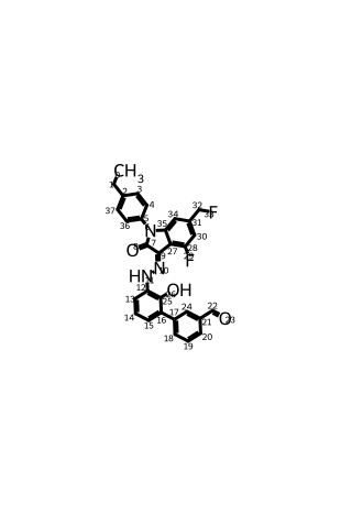 CCc1ccc(N2C(=O)/C(=N\Nc3cccc(-c4cccc(C=O)c4)c3O)c3c(F)cc(CF)cc32)cc1